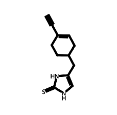 C#CC1=CCC(Cc2c[nH]c(=S)[nH]2)CC1